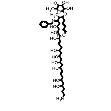 C/C=C/C=C/CC(OC1OC(C)C(O)C(O)C1O)C(C)/C(CC(O)CC(O)CC(O)/C=C/CC(O)CC(O)CC(O)CC(O)/C=C/CC(O)CC(O)CCCN)=N/Cc1ccccc1